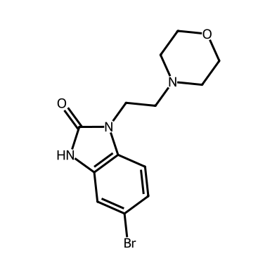 O=c1[nH]c2cc(Br)ccc2n1CCN1CCOCC1